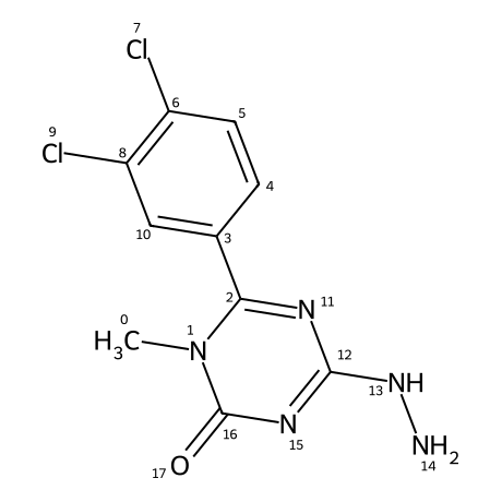 Cn1c(-c2ccc(Cl)c(Cl)c2)nc(NN)nc1=O